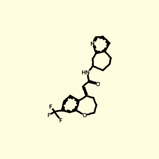 O=C(/C=C1\CCCOc2cc(C(F)(F)F)ccc21)NC1CCCc2cccnc2C1